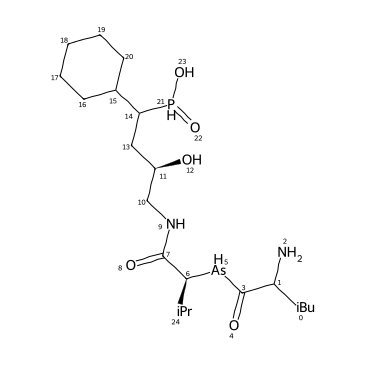 CCC(C)C(N)C(=O)[AsH][C@H](C(=O)NC[C@H](O)CC(C1CCCCC1)[PH](=O)O)C(C)C